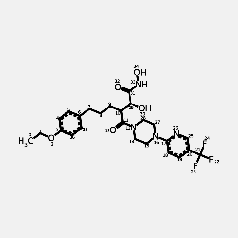 CCOc1ccc(CCCC(C(=O)N2CCN(c3ccc(C(F)(F)F)cn3)CC2)[C@H](O)C(=O)NO)cc1